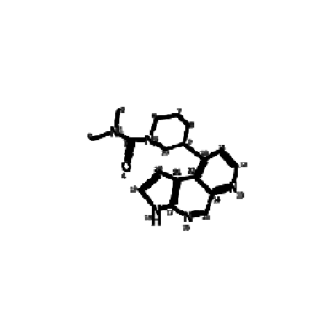 CN(C)C(=O)N1CCCC(c2ccnc3cnc4[nH]ccc4c23)C1